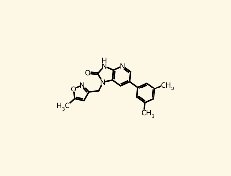 Cc1cc(C)cc(-c2cnc3[nH]c(=O)n(Cc4cc(C)on4)c3c2)c1